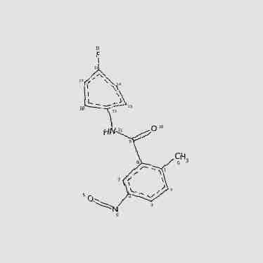 Cc1ccc(N=O)cc1C(=O)Nc1ccc(F)cc1